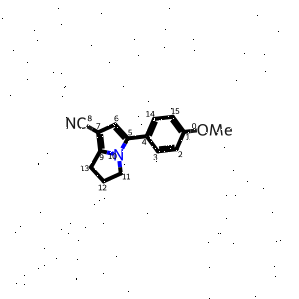 COc1ccc(-c2cc(C#N)c3n2CCC3)cc1